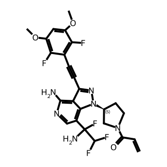 C=CC(=O)N1CC[C@H](n2nc(C#Cc3c(F)c(OC)cc(OC)c3F)c3c(N)ncc(C(N)(F)C(F)F)c32)C1